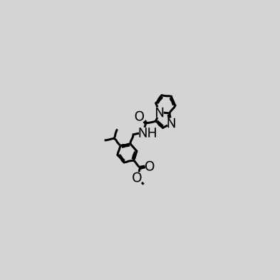 COC(=O)c1ccc(C(C)C)c(CNC(=O)c2cnc3ccccn23)c1